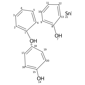 Oc1ccccc1.Oc1ccccc1.Oc1ccccc1.[Sn]